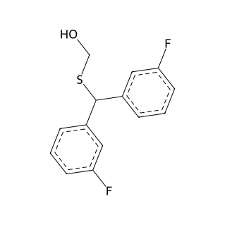 OCSC(c1cccc(F)c1)c1cccc(F)c1